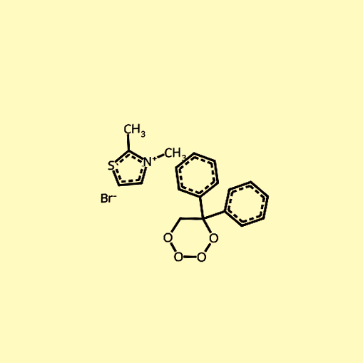 Cc1scc[n+]1C.[Br-].c1ccc(C2(c3ccccc3)COOOO2)cc1